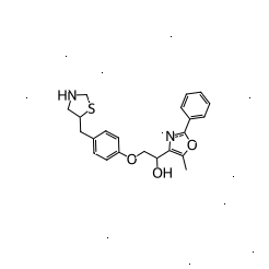 Cc1oc(-c2ccccc2)nc1C(O)COc1ccc(CC2CNCS2)cc1